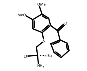 CCCC[C@](N)(CC)CSc1cc(OC)c(OC)cc1C(=O)c1ccccc1